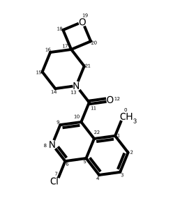 Cc1cccc2c(Cl)ncc(C(=O)N3CCCC4(COC4)C3)c12